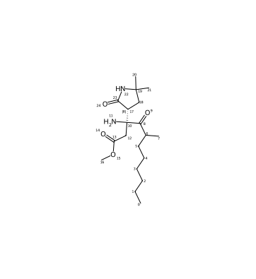 CCCCCCC(C)C(=O)C(N)(CC(=O)OC)[C@H]1CC(C)(C)NC1=O